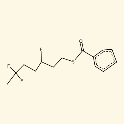 CC(F)(F)CCC(F)CCSC(=O)c1ccccc1